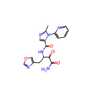 Cc1ncc(C(=O)NC(Cc2cocn2)C(=O)C(N)=O)n1-c1ccccn1